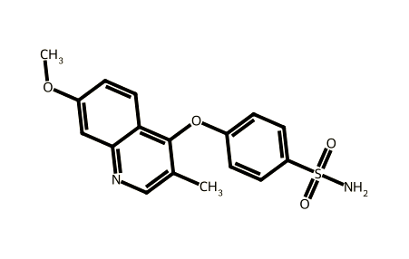 COc1ccc2c(Oc3ccc(S(N)(=O)=O)cc3)c(C)cnc2c1